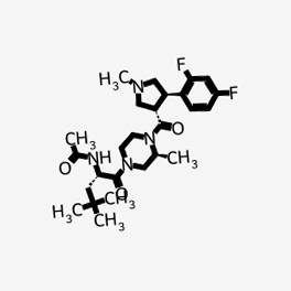 CC(=O)N[C@@H](CC(C)(C)C)C(=O)N1CCN(C(=O)[C@@H]2CN(C)C[C@H]2c2ccc(F)cc2F)[C@@H](C)C1